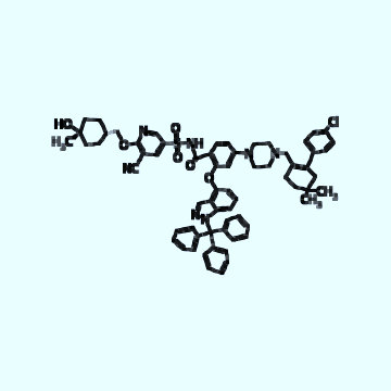 CC1(C)CCC(CN2CCN(c3ccc(C(=O)NS(=O)(=O)c4cnc(OC[C@H]5CC[C@@](C)(O)CC5)c(C#N)c4)c(Oc4cccc5c4cnn5C(c4ccccc4)(c4ccccc4)c4ccccc4)c3)CC2)=C(c2ccc(Cl)cc2)C1